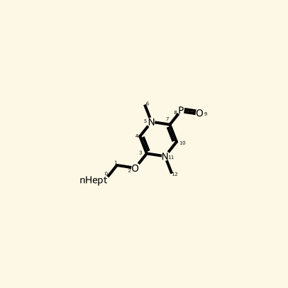 CCCCCCCCOC1=CN(C)C(P=O)=CN1C